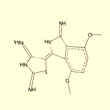 COc1ccc(OC)c2c1C(=N)NC2=C1SC(=N)NC1=N